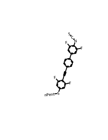 CCCCCSc1cc(F)c(C#Cc2ccc(-c3cc(F)c(N=C=S)c(F)c3)cc2)c(F)c1